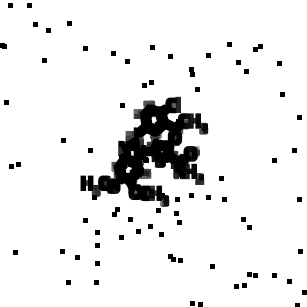 COc1cc2ncn(-c3cc(OC(C)c4cc(I)ccc4Cl)c(C(N)=O)s3)c2cc1OC